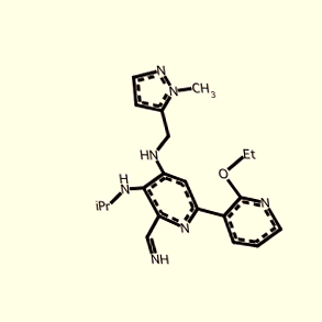 CCOc1ncccc1-c1cc(NCc2ccnn2C)c(NC(C)C)c(C=N)n1